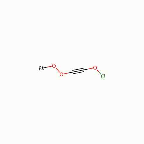 CCOOC#COCl